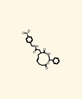 O=C(CC1C/C=C/CCC(=O)OC(c2ccccc2)CNC1=O)NCc1ccc([N+](=O)[O-])cc1